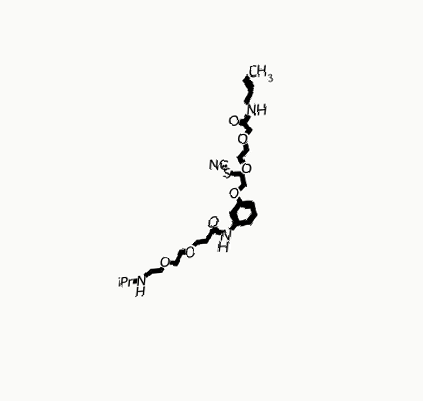 C/C=C/CNC(=O)COCCOC(COc1cccc(NC(=O)CCOCCOCCNC(C)C)c1)SC#N